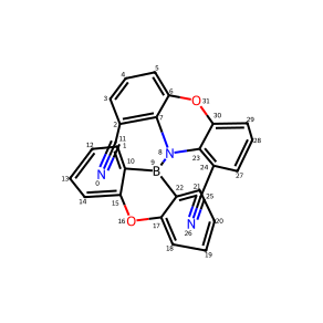 N#Cc1cccc2c1N(B1c3ccccc3Oc3ccccc31)c1c(C#N)cccc1O2